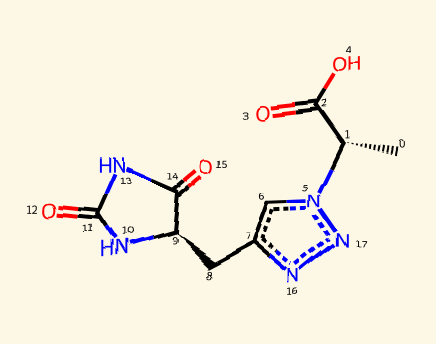 C[C@@H](C(=O)O)n1cc(C[C@H]2NC(=O)NC2=O)nn1